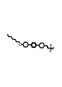 CCCCCCCOC1CCC(c2ccc(C3CCC(C=CC(F)(F)F)CC3)cc2)CC1